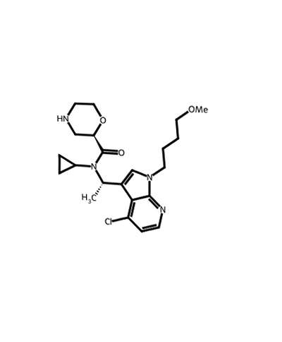 COCCCCn1cc([C@H](C)N(C(=O)[C@H]2CNCCO2)C2CC2)c2c(Cl)ccnc21